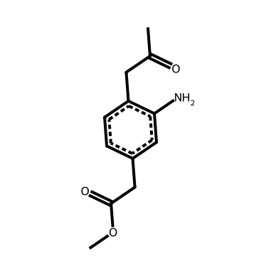 COC(=O)Cc1ccc(CC(C)=O)c(N)c1